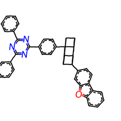 c1ccc(-c2nc(-c3ccccc3)nc(-c3ccc(C45C6C7C4C4C5C6C74c4ccc5c(c4)oc4ccccc45)cc3)n2)cc1